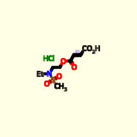 CCN(CCOC(=O)/C=C/C(=O)O)S(C)(=O)=O.Cl